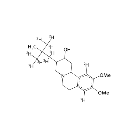 [2H]c1c2c(c([2H])c(OC)c1OC)C1CC(O)C(C([2H])([2H])C(C)(C([2H])([2H])[2H])C([2H])([2H])[2H])CN1CC2